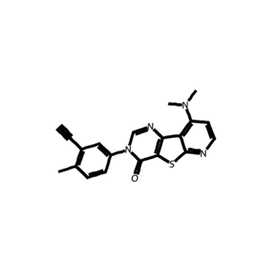 C#Cc1cc(-n2cnc3c(sc4nccc(N(C)C)c43)c2=O)ccc1C